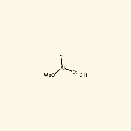 C[CH2][Al]([CH2]C)[O]C.Cl